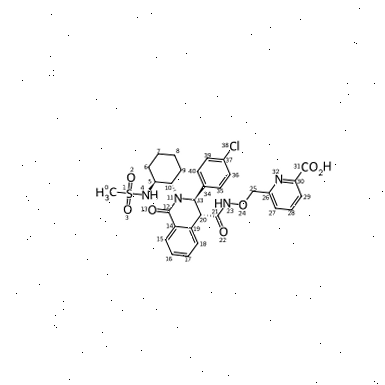 CS(=O)(=O)N[C@H]1CCCC[C@@H]1N1C(=O)c2ccccc2[C@@H](C(=O)NOCc2cccc(C(=O)O)n2)[C@@H]1c1ccc(Cl)cc1